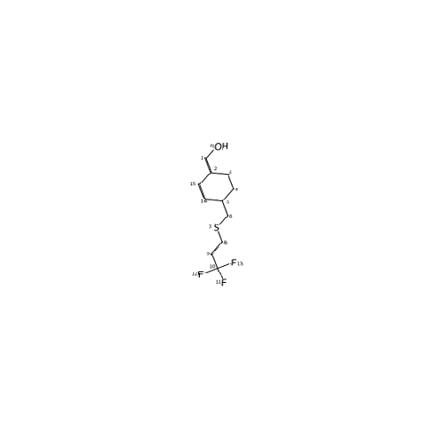 OCC1CCC(CSCCC(F)(F)F)CC1